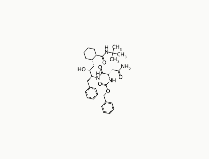 CC(C)(C)NC(=O)[C@@H]1CCCC[C@H]1C[C@@H](O)[C@H](Cc1ccccc1)NC(=O)[C@H](CC(N)=O)NC(=O)OCc1ccccc1